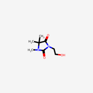 CN1C(=O)N(CCO)C(=O)C1(C)C